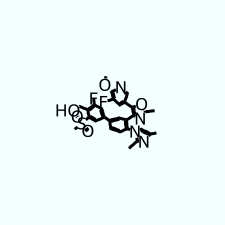 COc1ncc(-c2oc(C)nc2-c2cc(-c3cc(F)c(CO)c(S(C)(=O)=O)c3)ccc2-n2cc(C)nc2C)cc1F